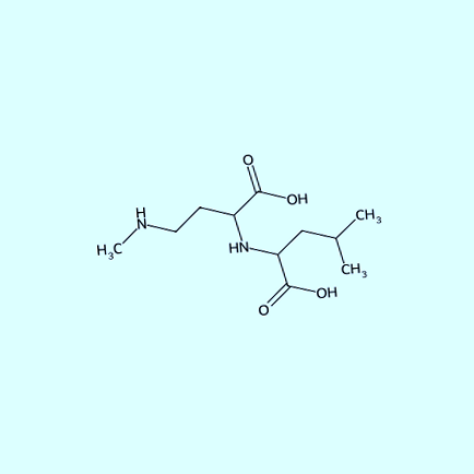 CNCCC(NC(CC(C)C)C(=O)O)C(=O)O